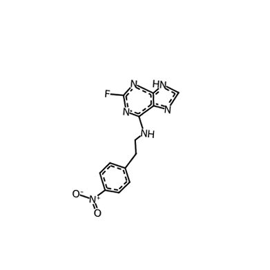 O=[N+]([O-])c1ccc(CCNc2nc(F)nc3[nH]cnc23)cc1